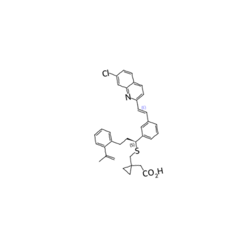 C=C(C)c1ccccc1CC[C@H](SCC1(CC(=O)O)CC1)c1cccc(/C=C/c2ccc3ccc(Cl)cc3n2)c1